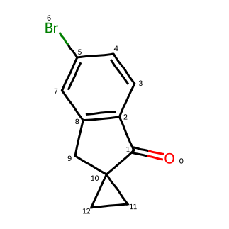 O=C1c2ccc(Br)cc2CC12CC2